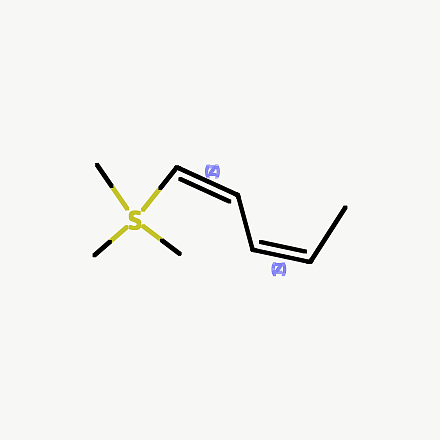 C/C=C\C=C/S(C)(C)C